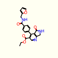 CCOC(=O)c1cnc2c(c1-c1ccc(C(=O)NCc3ccco3)cc1)C(=O)NC2